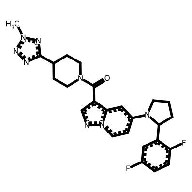 Cn1nnc(C2CCN(C(=O)c3cnn4ccc(N5CCCC5c5cc(F)ccc5F)cc34)CC2)n1